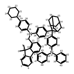 CC1(C)c2ccccc2-c2cccc(CN(c3ccc(C4CCCCC4)cc3)c3ccc(C4(c5ccc(N(c6ccccc6)c6ccccc6)cc5)C5CC6CC(C5)CC4C6)cc3)c21